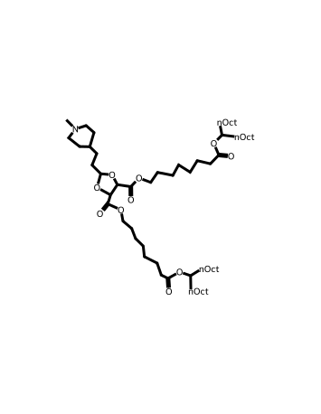 CCCCCCCCC(CCCCCCCC)OC(=O)CCCCCCCOC(=O)C1OC(CCC2CCN(C)CC2)OC1C(=O)OCCCCCCCC(=O)OC(CCCCCCCC)CCCCCCCC